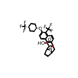 O=C(O)C1CCC2CCC1N2Cc1ccc2c(C(F)(F)F)c(O[C@H]3CC[C@@H](C(F)(F)F)CC3)ccc2c1